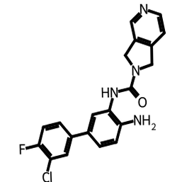 Nc1ccc(-c2ccc(F)c(Cl)c2)cc1NC(=O)N1Cc2ccncc2C1